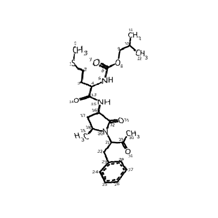 CSCCC(NC(=O)OCC(C)C)C(=O)NC1CC(C)N(C(Cc2ccccc2)C(C)=O)C1=O